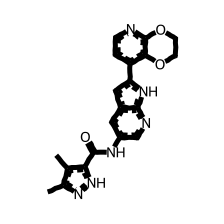 Cc1n[nH]c(C(=O)Nc2cnc3[nH]c(-c4ccnc5c4OCCO5)cc3c2)c1C